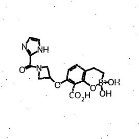 O=C(O)c1c(OC2CN(C(=O)c3ncc[nH]3)C2)ccc2c1O[B-](O)(O)CC2